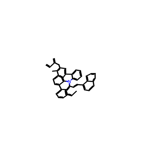 C=CC(=C)Cc1cc(-c2ccccc2N(C(/C=C/c2cccc3ccccc23)=C/C=C\C)c2ccccc2-c2ccccc2)ccc1C